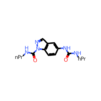 CCCNC(=O)Nc1ccc2c(cnn2C(=O)NCCC)c1